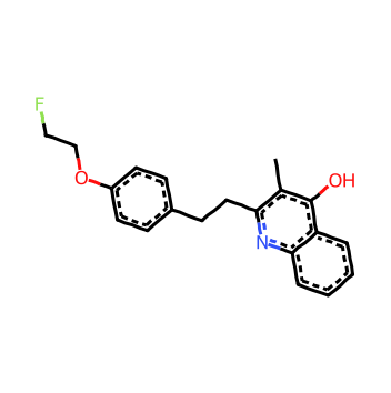 Cc1c(CCc2ccc(OCCF)cc2)nc2ccccc2c1O